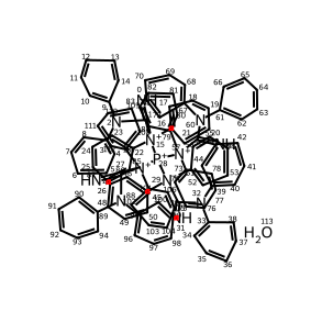 N=C(N(c1ccccc1)c1ccccc1)[N+](c1ccccc1)(c1ccccc1)[P+]([N+](C(=N)N(c1ccccc1)c1ccccc1)(c1ccccc1)c1ccccc1)([N+](C(=N)N(c1ccccc1)c1ccccc1)(c1ccccc1)c1ccccc1)[N+](C(=N)N(c1ccccc1)c1ccccc1)(c1ccccc1)c1ccccc1.O